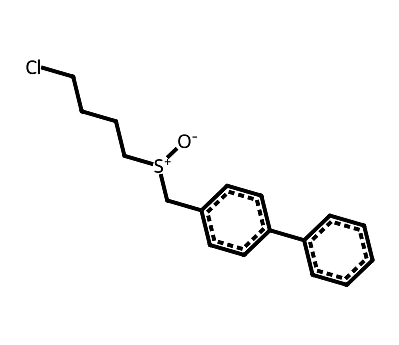 [O-][S+](CCCCCl)Cc1ccc(-c2ccccc2)cc1